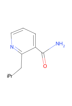 CC(C)Cc1ncccc1C(N)=O